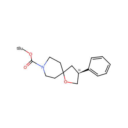 CC(C)(C)OC(=O)N1CCC2(CC1)C[C@@H](c1ccccc1)CO2